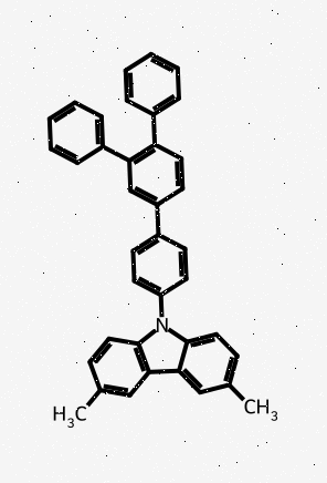 Cc1ccc2c(c1)c1cc(C)ccc1n2-c1ccc(-c2ccc(-c3ccccc3)c(-c3ccccc3)c2)cc1